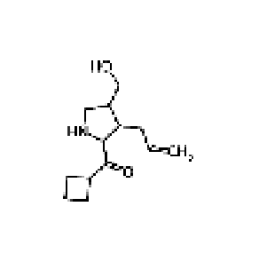 C=CCC1C(CO)CNC1C(=O)C1CCC1